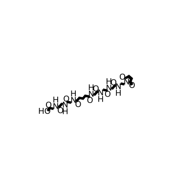 O=C(O)CNC(=O)CNC(=O)CNC(=O)CCCC(=O)NCC(=O)NCC(=O)NCC(=O)NCCN1C(=O)C=CC1=O